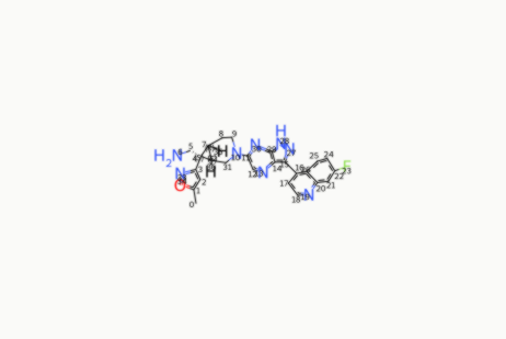 Cc1cc([C@@]2(CN)[C@@H]3CCN(c4cnc5c(-c6ccnc7cc(F)ccc67)n[nH]c5n4)C[C@@H]32)no1